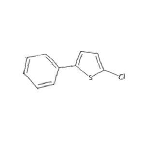 Clc1ccc(-c2c[c]ccc2)s1